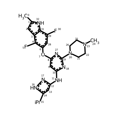 Cc1cc2c(F)c(Oc3cc(Nc4cc(C(C)C)[nH]n4)nc(N4CCN(C)CC4)n3)cc(F)c2[nH]1